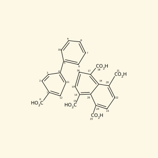 O=C(O)c1ccc(-c2ccccc2)cc1.O=C(O)c1ccc(C(=O)O)c2c(C(=O)O)ccc(C(=O)O)c12